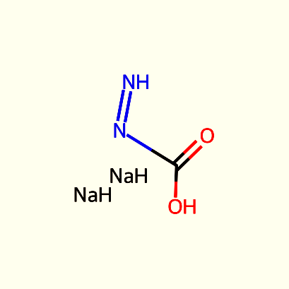 N=NC(=O)O.[NaH].[NaH]